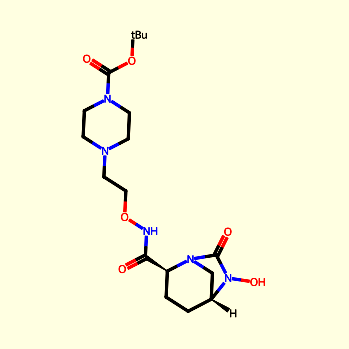 CC(C)(C)OC(=O)N1CCN(CCONC(=O)[C@@H]2CC[C@@H]3CN2C(=O)N3O)CC1